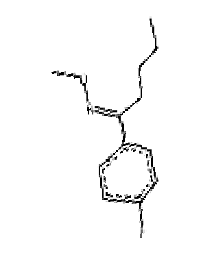 CCCCC(=NOC)c1ccc(F)cc1